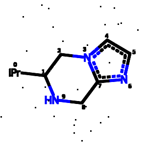 CC(C)C1Cn2ccnc2CN1